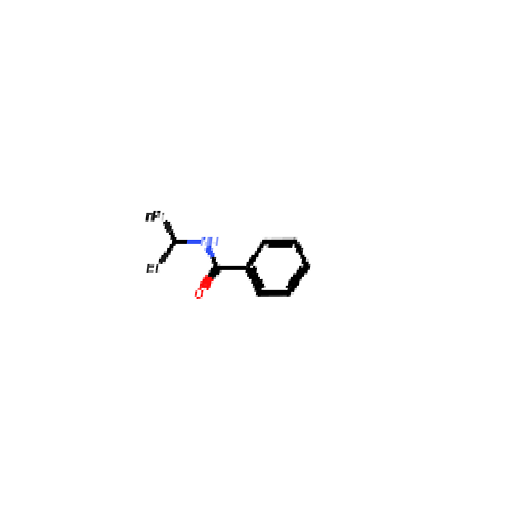 CCCC(CC)NC(=O)c1[c]cccc1